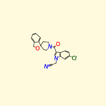 N#CCn1cc(C(=O)N2CCC3(CC2)OCc2ccccc23)c2ccc(Cl)cc21